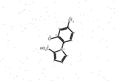 O=C(O)c1cccn1-c1ccc(C(F)(F)F)cc1Cl